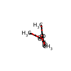 CCCCCCCCCCCCCCOC(=O)CCN(CCC(=O)OCCCCCCCCCCCCCC)CCC1CCN(CCC(=O)OC)CC1